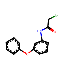 O=C(CBr)Nc1cccc(Oc2ccccc2)c1